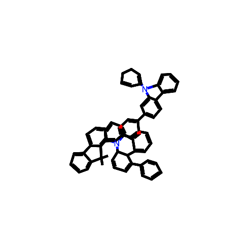 CC1(C)c2ccccc2-c2cccc(N(c3ccc(-c4ccc5c6ccccc6n(C6=CCCC=C6)c5c4)cc3)C3C=CC=C(c4ccccc4)C3c3ccccc3-c3ccccc3)c21